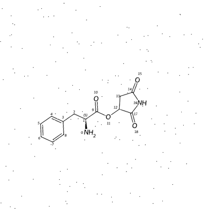 N[C@@H](Cc1ccccc1)C(=O)OC1CC(=O)NC1=O